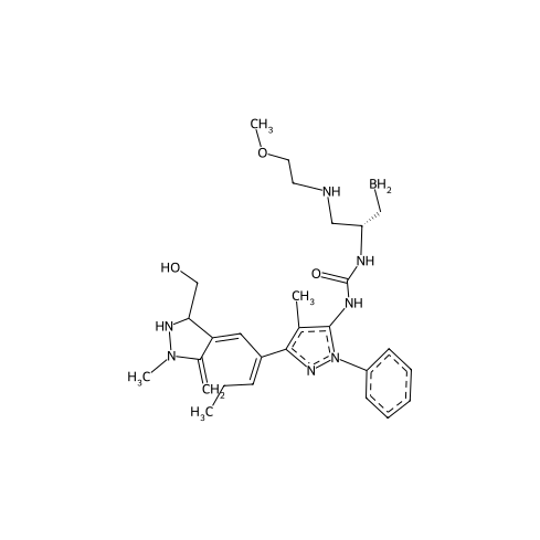 BC[C@@H](CNCCOC)NC(=O)Nc1c(C)c(C(/C=C2\C(=C)N(C)NC2CO)=C/CC)nn1-c1ccccc1